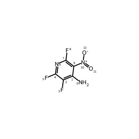 Nc1c(F)c(F)nc(F)c1[N+](=O)[O-]